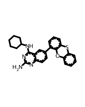 Nc1nc(NC2CCCCC2)c2cc(-c3cccc4c3Oc3ccccc3S4)ccc2n1